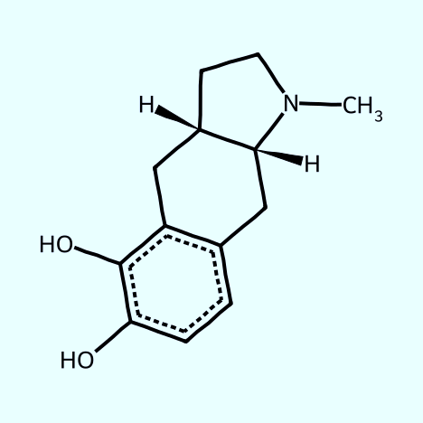 CN1CC[C@H]2Cc3c(ccc(O)c3O)C[C@H]21